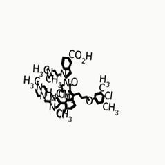 Cc1cc(OCCCc2c3n(c4c(-c5c(C)nc(CN6CCN(C)CC6)nc5C)c(Cl)ccc24)[C@H](C)CN(c2cc4cc(C(=O)O)ccc4n2CCN(C)C)C3=O)cc(C)c1Cl